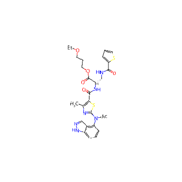 CCOCCCOC(=O)[C@H](CNC(=O)c1cccs1)NC(=O)c1sc(N(C(C)=O)c2cccc3[nH]ncc23)nc1C